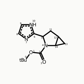 CC(C)(C)OC(=O)N1C(c2ncc[nH]2)CC2CC21